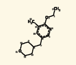 CCOc1ncc(CC2CCOCC2)cc1C